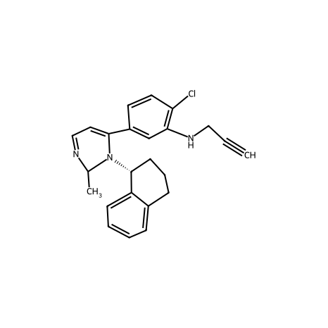 C#CCNc1cc(C2=CC=NC(C)N2[C@@H]2CCCc3ccccc32)ccc1Cl